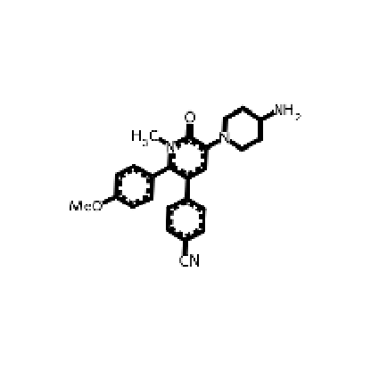 COc1ccc(-c2c(-c3ccc(C#N)cc3)cc(N3CCC(N)CC3)c(=O)n2C)cc1